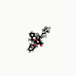 O=C(NCCS(=O)(=O)O)c1cc(F)c2nc(N3C4CCC3CC(OCc3c(-c5ccccc5C(F)(F)F)noc3C3CC3)C4)sc2c1